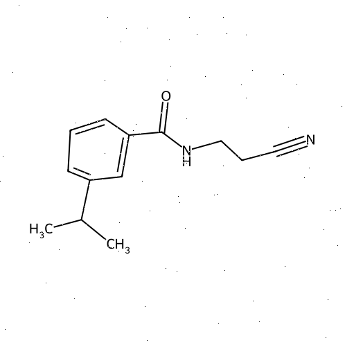 CC(C)c1cccc(C(=O)NCCC#N)c1